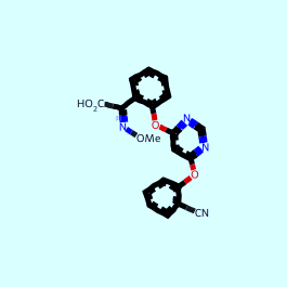 CO/N=C(/C(=O)O)c1ccccc1Oc1cc(Oc2ccccc2C#N)ncn1